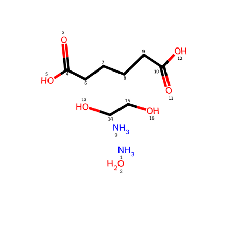 N.N.O.O=C(O)CCCCC(=O)O.OCCO